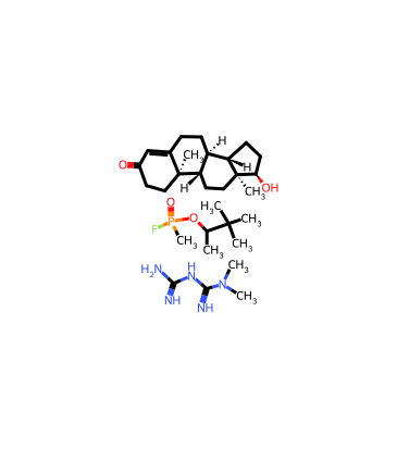 CC(OP(C)(=O)F)C(C)(C)C.CN(C)C(=N)NC(=N)N.C[C@]12CC[C@H]3[C@@H](CCC4=CC(=O)CC[C@@]43C)[C@@H]1CC[C@H]2O